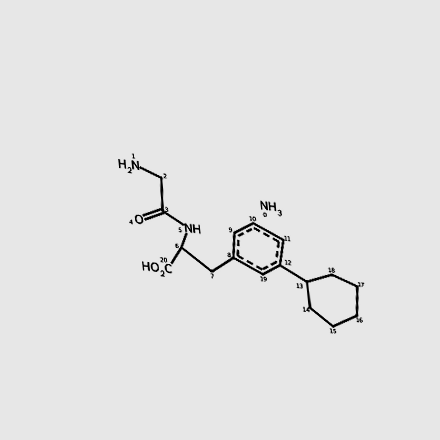 N.NCC(=O)NC(Cc1cccc(C2CCCCC2)c1)C(=O)O